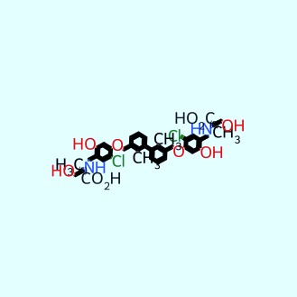 Cc1c(COc2cc(O)c(CN[C@@](C)(CO)C(=O)O)cc2Cl)cccc1-c1cccc(COc2cc(O)c(CN[C@@](C)(CO)C(=O)O)cc2Cl)c1C